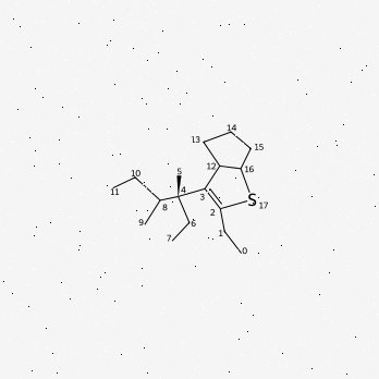 CCC1=C([C@](C)(CC)C(C)CC)C2CCCC2S1